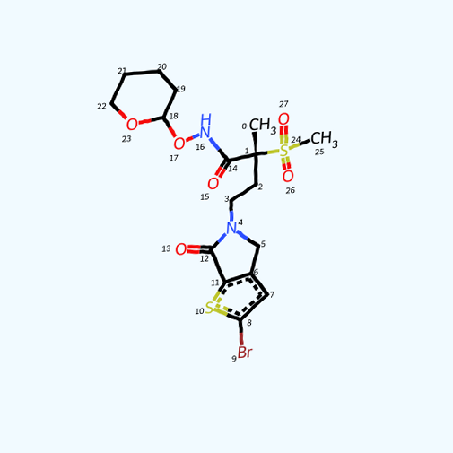 C[C@@](CCN1Cc2cc(Br)sc2C1=O)(C(=O)NOC1CCCCO1)S(C)(=O)=O